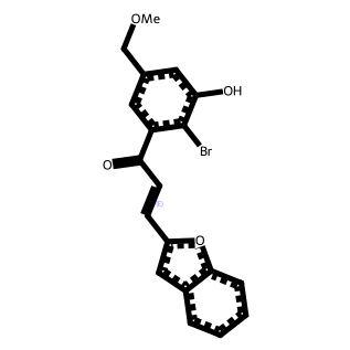 COCc1cc(O)c(Br)c(C(=O)/C=C/c2cc3ccccc3o2)c1